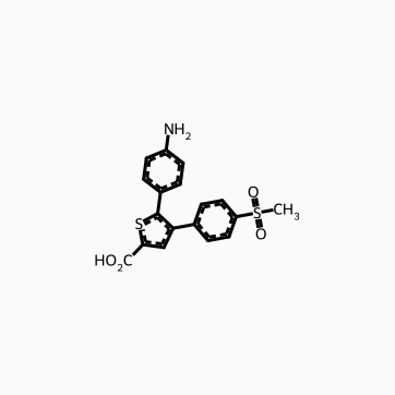 CS(=O)(=O)c1ccc(-c2cc(C(=O)O)sc2-c2ccc(N)cc2)cc1